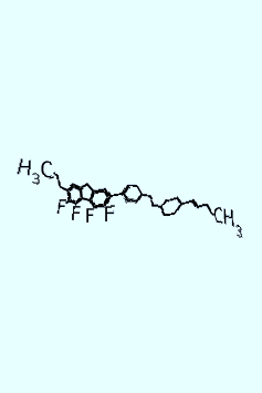 CCCCCC1CCC(CCC2CC=C(c3cc4c(c(F)c3F)-c3c(cc(CCC)c(F)c3F)C4)CC2)CC1